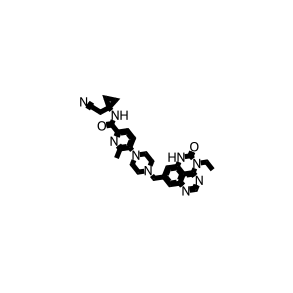 CCN1C(=O)Nc2cc(CN3CCN(c4ccc(C(=O)NC5(CC#N)CC5)nc4C)CC3)cc3ncnc1c23